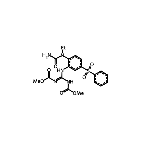 CCN(C(N)=O)c1ccc(S(=O)(=O)c2ccccc2)cc1NC(=NC(=O)OC)NC(=O)OC